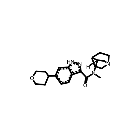 CN(C(=O)c1n[nH]c2cc(C3CCOCC3)ccc12)[C@H]1CN2CCC1CC2